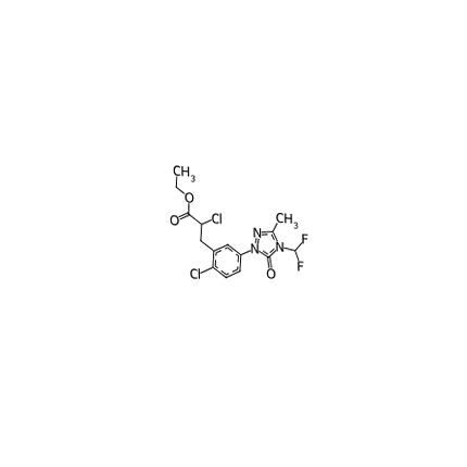 CCOC(=O)C(Cl)Cc1cc(-n2nc(C)n(C(F)F)c2=O)ccc1Cl